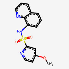 COc1ccnc(S(=O)(=O)Nc2cccc3cccnc23)c1